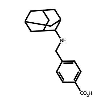 O=C(O)c1ccc(CNC2C3CC4CC(C3)CC2C4)cc1